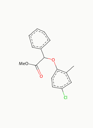 COC(=O)C(Oc1ccc(Cl)cc1C)c1ccccc1